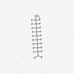 [CH2]C(F)(F)C(F)(F)C(F)(F)C(F)(F)C(F)(F)C(F)(F)C(F)(F)C(F)(F)C(F)(F)C(F)F